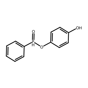 O=[PH](Oc1ccc(O)cc1)c1ccccc1